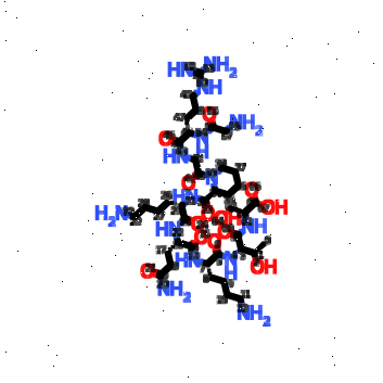 C[C@@H](O)[C@H](NC(=O)[C@H](CCCCN)NC(=O)[C@H](CCC(N)=O)NC(=O)[C@H](CCCCN)NC(=O)[C@@H]1CCCCN1C(=O)CNC(=O)[C@H](CCCNC(=N)N)NC(=O)CN)C(=O)N[C@@H](CO)C(=O)O